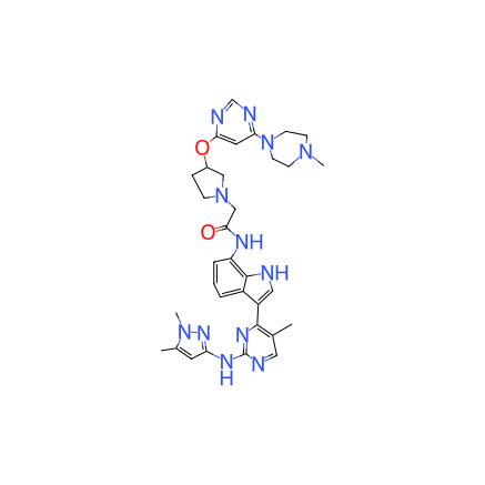 Cc1cnc(Nc2cc(C)n(C)n2)nc1-c1c[nH]c2c(NC(=O)CN3CCC(Oc4cc(N5CCN(C)CC5)ncn4)C3)cccc12